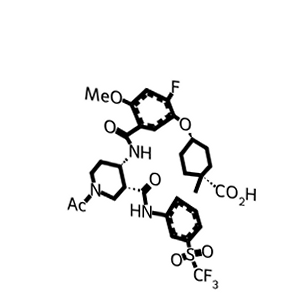 COc1cc(F)c(O[C@H]2CC[C@@](C)(C(=O)O)CC2)cc1C(=O)N[C@H]1CCN(C(C)=O)C[C@H]1C(=O)Nc1cccc(S(=O)(=O)C(F)(F)F)c1